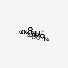 O=C(N[S+]([O-])c1ccccc1C(=O)N1CCOCC1)c1cc2c(F)cc(N3CCC3)cc2o1